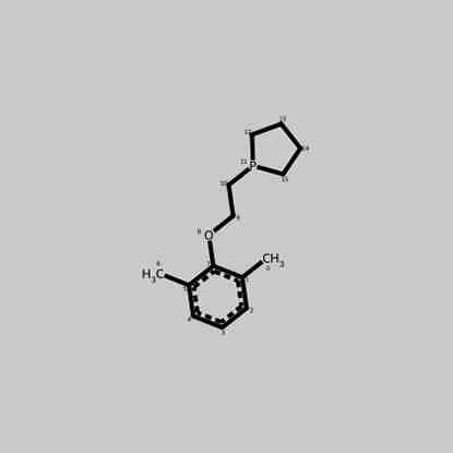 Cc1cccc(C)c1OCCP1CCCC1